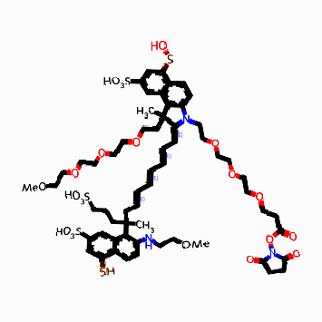 COCCNc1ccc2c(S)cc(S(=O)(=O)O)cc2c1C(C)(C/C=C/C=C/C=C/C=C1/N(CCOCCOCCOCCC(=O)ON2C(=O)CCC2=O)c2ccc3c(SO)cc(S(=O)(=O)O)cc3c2C1(C)CCOCCOCCOCCOC)CCCS(=O)(=O)O